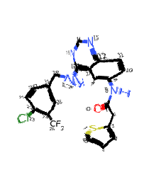 O=C(Cc1cccs1)Nc1ccc2ncnc(NCc3ccc(Cl)c(C(F)(F)F)c3)c2c1